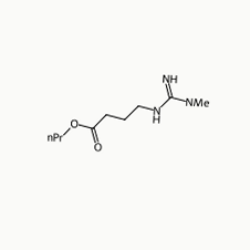 CCCOC(=O)CCCNC(=N)NC